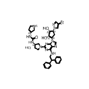 CCc1cnn([C@H]2C[C@@H](n3cnc4c(NCC(c5ccccc5)c5ccccc5)nc(N5CC[C@@H](NC(=O)N[C@@H]6CCNC6)C5)nc43)[C@H](O)[C@@H]2O)c1.Cl